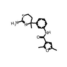 Cc1cc(C(=O)Nc2cccc(C3(C)CCSC(N)=N3)c2)c(C)o1